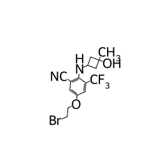 CC1(O)CC(Nc2c(C#N)cc(OCCBr)cc2C(F)(F)F)C1